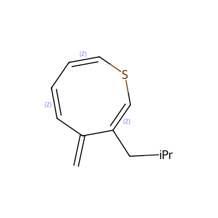 C=C1/C=C\C=C/S/C=C\1CC(C)C